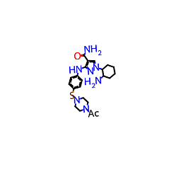 CC(=O)N1CCN(Sc2ccc(Nc3nn(C4CCCCC4N)cc3C(N)=O)cc2)CC1